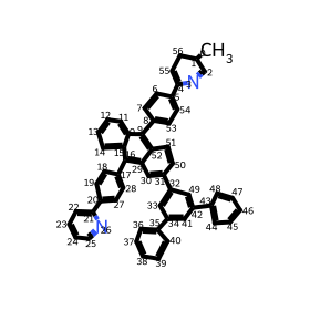 CC1C=NC(c2ccc(-c3c4ccccc4c(-c4ccc(-c5ccccn5)cc4)c4cc(-c5cc(-c6ccccc6)cc(-c6ccccc6)c5)ccc34)cc2)=CC1